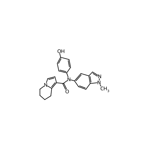 Cn1ncc2cc(N(C(=O)c3ccn4c3CCCC4)c3ccc(O)cc3)ccc21